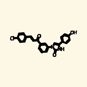 O=C(C=Cc1ccc(Cl)cc1)c1cccc(-n2cc(-c3ccc(O)cc3)[nH]c2=O)c1